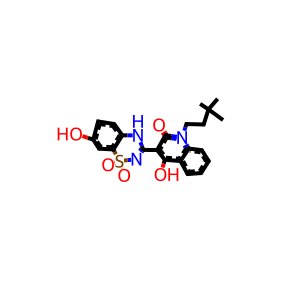 CC(C)(C)CCn1c(=O)c(C2=NS(=O)(=O)c3cc(O)ccc3N2)c(O)c2ccccc21